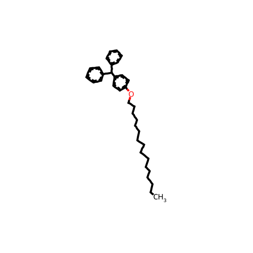 CCCCCCCCCCCCCCCCOc1ccc(C(c2ccccc2)c2ccccc2)cc1